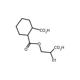 CCC(COC(=O)C1CCCCC1C(=O)O)C(=O)O